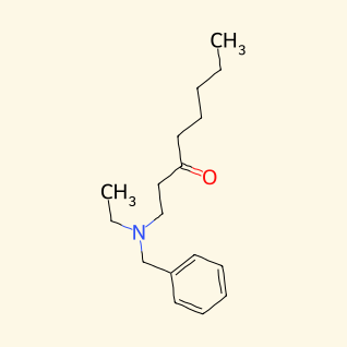 CCCCCC(=O)CCN(CC)Cc1ccccc1